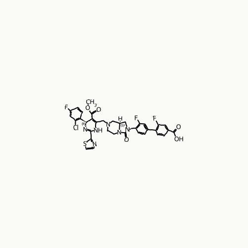 COC(=O)C1=C(CN2CCN3C(=O)N(c4ccc(-c5ccc(C(=O)O)cc5F)cc4F)C[C@@H]3C2)NC(c2nccs2)=N[C@H]1c1ccc(F)cc1Cl